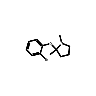 CN1CCCC1(C)Oc1ccccc1Br